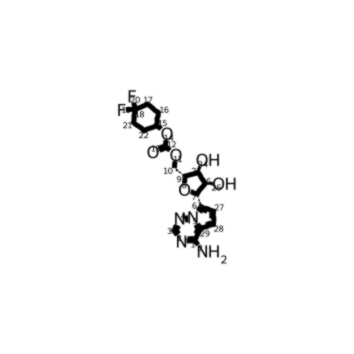 Nc1ncnn2c([C@@H]3O[C@H](COC(=O)OC4CCC(F)(F)CC4)[C@@H](O)[C@H]3O)ccc12